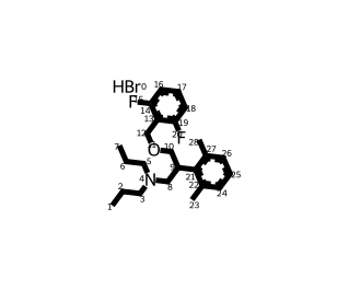 Br.CCCN(CCC)CC(COCc1c(F)cccc1F)c1c(C)cccc1C